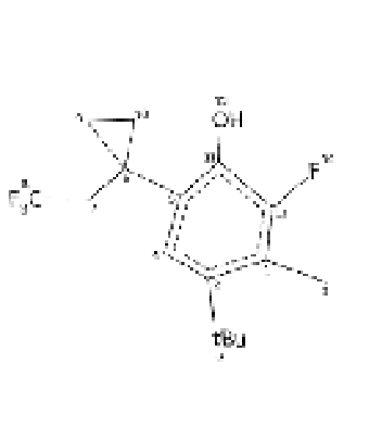 Cc1c(C(C)(C)C)cc(C2(CC(F)(F)F)CC2)c(O)c1F